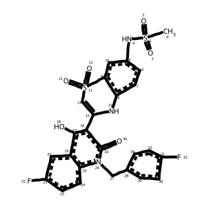 CS(=O)(=O)Nc1ccc2c(c1)S(=O)(=O)C=C(c1c(O)c3cc(F)ccc3n(Cc3ccc(F)cc3)c1=O)N2